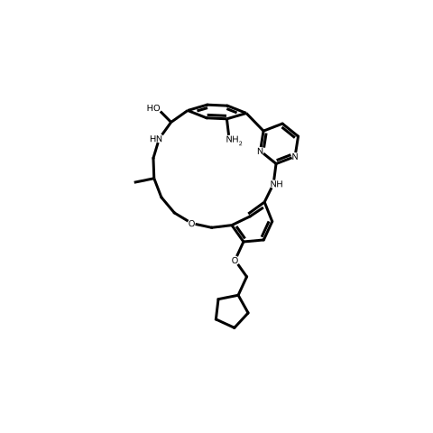 CC1CCOCc2cc(ccc2OCC2CCCC2)Nc2nccc(n2)-c2ccc(cc2N)C(O)NC1